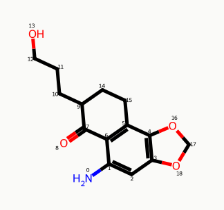 Nc1cc2c(c3c1C(=O)C(CCCO)CC3)OCO2